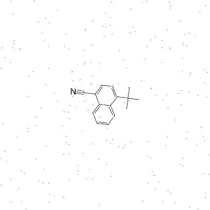 CC(C)(C)c1ccc(C#N)c2ccccc12